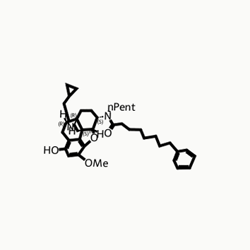 CCCCCN(C(=O)CCCCCCCc1ccccc1)[C@H]1CC[C@H]2[C@H]3Cc4c(O)cc(OC)c5c4[C@@]2(CCN3CC2CC2)[C@H]1O5